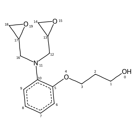 OCCCOc1ccccc1N(CC1CO1)CC1CO1